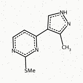 CSc1nccc(-c2c[nH]nc2C)n1